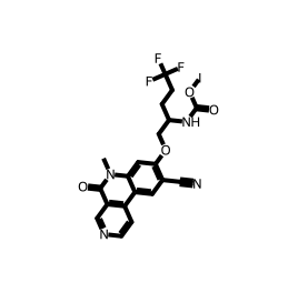 Cn1c(=O)c2cnccc2c2cc(C#N)c(OCC(CCC(F)(F)F)NC(=O)OI)cc21